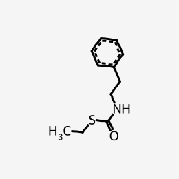 CCSC(=O)NCCc1ccccc1